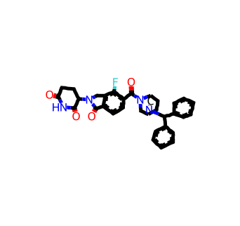 O=C1CCC(N2Cc3c(ccc(C(=O)N4CC5CCC4CN5C(c4ccccc4)c4ccccc4)c3F)C2=O)C(=O)N1